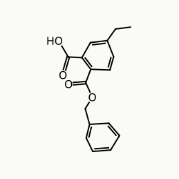 CCc1ccc(C(=O)OCc2ccccc2)c(C(=O)O)c1